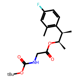 Cc1cc(F)ccc1[C@@H](C)[C@@H](C)OC(=O)CNC(=O)OC(C)(C)C